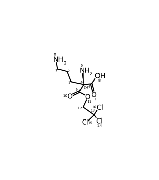 NCCC[C@](N)(C(=O)O)C(=O)OCC(Cl)(Cl)Cl